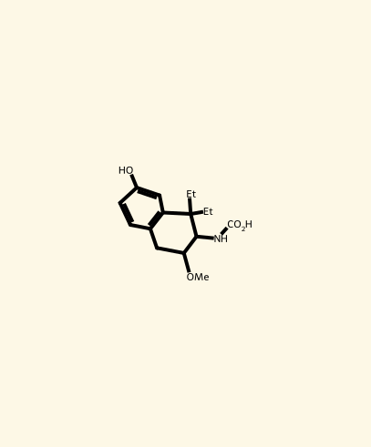 CCC1(CC)c2cc(O)ccc2CC(OC)C1NC(=O)O